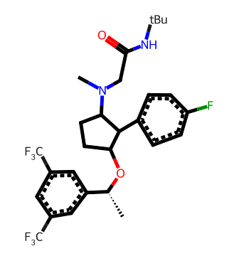 C[C@@H](OC1CCC(N(C)CC(=O)NC(C)(C)C)C1c1ccc(F)cc1)c1cc(C(F)(F)F)cc(C(F)(F)F)c1